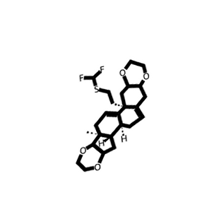 C[C@]12CC=C3[C@@H](CC=C4CC5OCCOC5C[C@@]43CCSC(F)F)[C@@H]1CC1OCCOC12